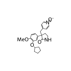 COc1ccc(C2(Cc3cc[n+]([O-])cc3)CCNC2=O)cc1OC1CCCC1